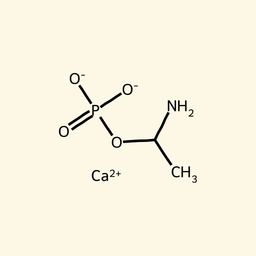 CC(N)OP(=O)([O-])[O-].[Ca+2]